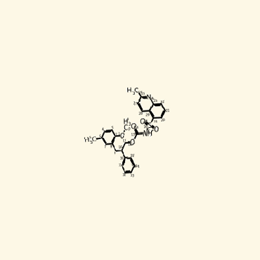 COc1ccc(C)cc1C[C@@H](COC(=O)NS(=O)(=O)c1cccc2nc(C)ccc12)c1ccccc1